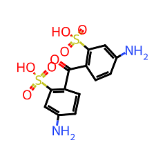 Nc1ccc(C(=O)c2ccc(N)cc2S(=O)(=O)O)c(S(=O)(=O)O)c1